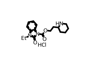 CCn1c(=O)n(C(=O)OCCC2CCCCN2)c2ccccc21.Cl